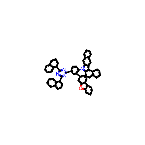 c1ccc2cc3c(cc2c1)c1c2ccccc2ccc1n3-c1ccc(-c2nc(-c3cccc4ccccc34)nc(-c3cccc4ccccc34)n2)cc1-c1ccc2c(c1)oc1ccccc12